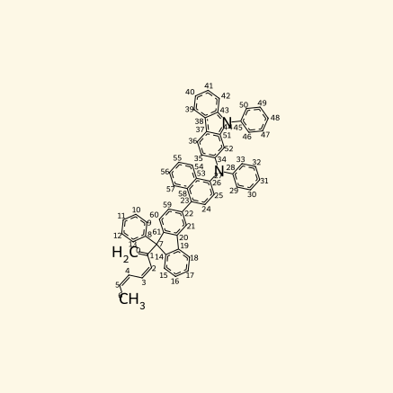 C=C(/C=C\C=C/C)C1(c2ccccc2)c2ccccc2-c2cc(-c3ccc(N(c4ccccc4)c4ccc5c6ccccc6n(-c6ccccc6)c5c4)c4ccccc34)ccc21